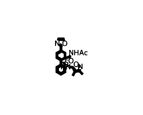 CC(=O)NCC1(S(=O)(=O)Nc2onc(C)c2C)CC(c2ncco2)=CC=C1c1ccccc1